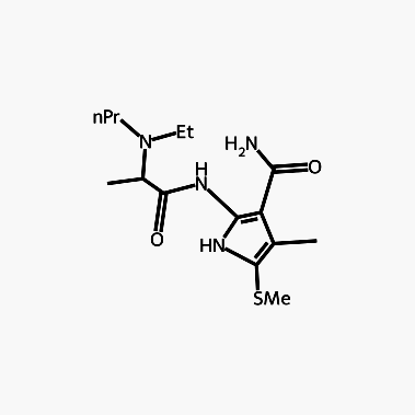 CCCN(CC)C(C)C(=O)Nc1[nH]c(SC)c(C)c1C(N)=O